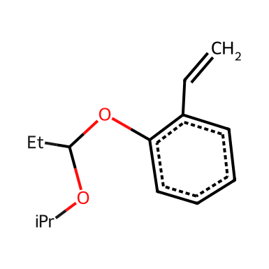 C=Cc1ccccc1OC(CC)OC(C)C